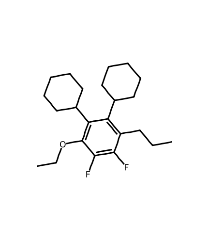 CCCc1c(F)c(F)c(OCC)c(C2CCCCC2)c1C1CCCCC1